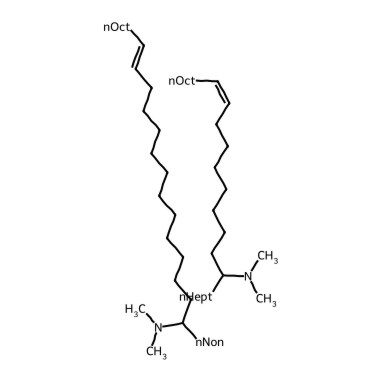 CCCCCCCC/C=C\CCCCCCCC(CCCCCCC)N(C)C.CCCCCCCCC=CCCCCCCCCCCCC(CCCCCCCCC)N(C)C